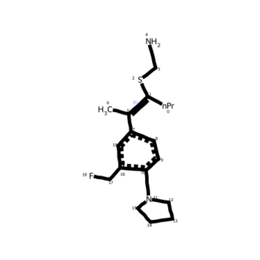 CCC/C(SCN)=C(/C)c1ccc(N2CCCC2)c(CF)c1